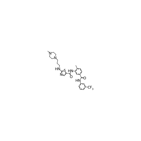 Cc1ccc(C(=O)Nc2cccc(C(F)(F)F)c2)cc1NC(=O)c1cnc(NCCCN2CCN(C)CC2)s1